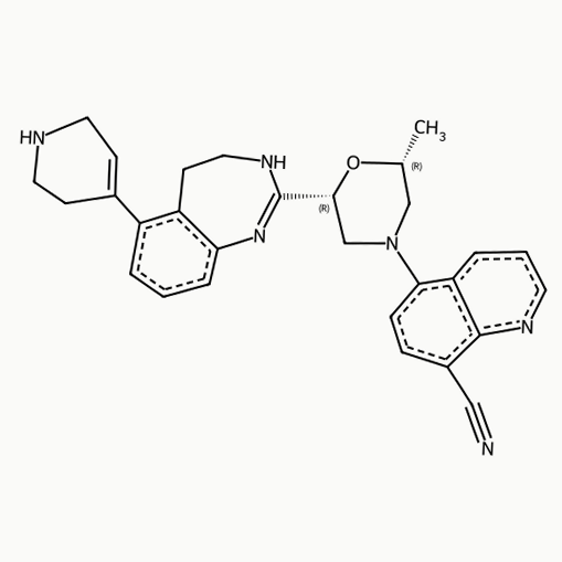 C[C@@H]1CN(c2ccc(C#N)c3ncccc23)C[C@H](C2=Nc3cccc(C4=CCNCC4)c3CCN2)O1